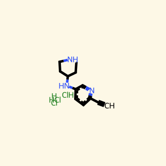 C#Cc1ccc(NC2CCNCC2)cn1.Cl.Cl.Cl